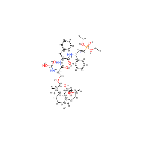 CCOP(=O)(/C=C/C(NC(=O)[C@H](Cc1ccccc1)NC(=O)[C@H](CO[C@H]1O[C@@H]2O[C@@]3(C)CC[C@H]4[C@H](C)CC[C@@H]([C@H]1C)[C@@]24OO3)NC(=O)O)c1ccccc1)OCC